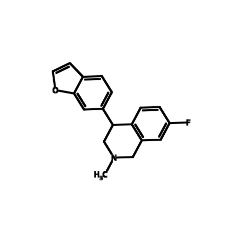 CN1Cc2cc(F)ccc2C(c2ccc3ccoc3c2)C1